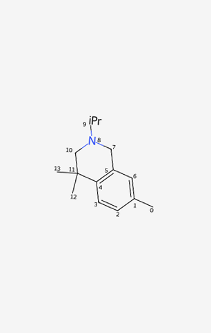 Cc1ccc2c(c1)CN(C(C)C)CC2(C)C